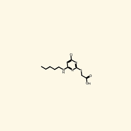 CCCCCNc1cc(Cl)nc(SCC(=O)O)n1